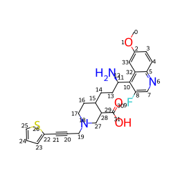 COc1ccc2ncc(F)c([C@H](N)CCC3CCN(CC#Cc4cccs4)CC3C(=O)O)c2c1